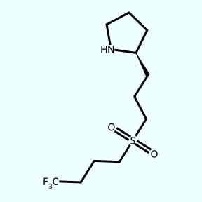 O=S(=O)(CCC[C@@H]1CCCN1)CCCC(F)(F)F